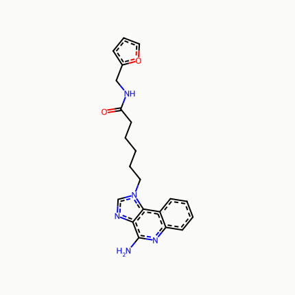 Nc1nc2ccccc2c2c1ncn2CCCCCC(=O)NCc1ccco1